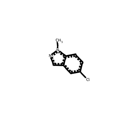 Cn1n[c]c2cc(Cl)ccc21